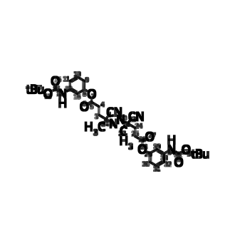 CC(C#N)(CCC(=O)Oc1cccc(NC(=O)OC(C)(C)C)c1)/N=N/C(C)(C#N)CCC(=O)Oc1cccc(NC(=O)OC(C)(C)C)c1